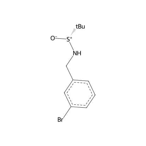 CC(C)(C)[S@@+]([O-])NCc1cccc(Br)c1